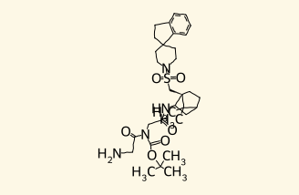 CC(C)(C)OC(=O)N(CC(=O)NC1CC2CC[C@]1(CS(=O)(=O)N1CCC3(CCc4ccccc43)CC1)C2(C)C)C(=O)CN